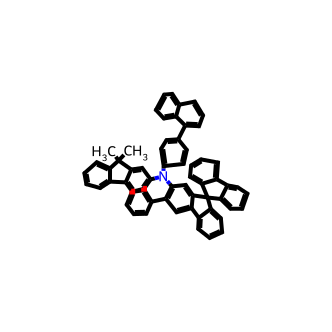 CC1(C)c2ccccc2-c2ccc(N(c3ccc(-c4cccc5ccccc45)cc3)c3cc4c(cc3-c3ccccc3)-c3ccccc3C43c4ccccc4-c4ccccc43)cc21